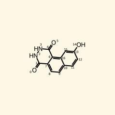 O=c1[nH][nH]c(=O)c2c1ccc1ccc(O)cc12